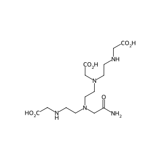 NC(=O)CN(CCNCC(=O)O)CCN(CCNCC(=O)O)CC(=O)O